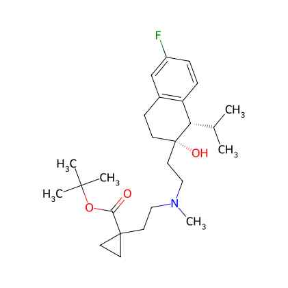 CC(C)[C@H]1c2ccc(F)cc2CC[C@]1(O)CCN(C)CCC1(C(=O)OC(C)(C)C)CC1